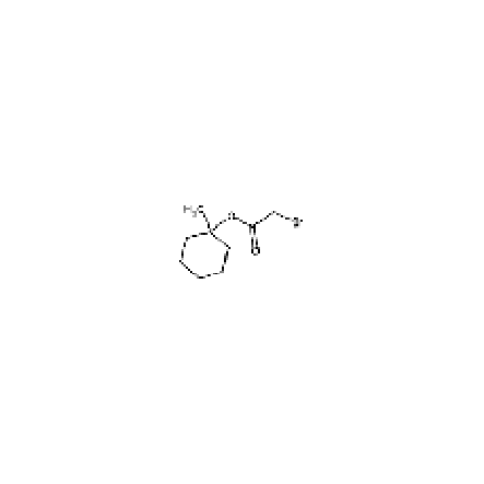 CC1(OC(=O)CBr)CCCCC1